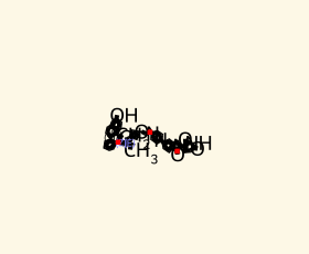 C=C(/C=C\C(=C/C)O[C@H]1C[C@H](OCCN2CCN(c3ccc4c(c3)CN(C3CCC(=O)NC3=O)C4=O)CC2)C1)[C@@H]1c2ccc(O)cc2CC[C@@H]1c1ccccc1